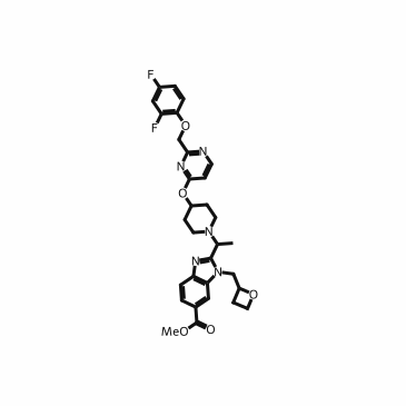 COC(=O)c1ccc2nc(C(C)N3CCC(Oc4ccnc(COc5ccc(F)cc5F)n4)CC3)n(CC3CCO3)c2c1